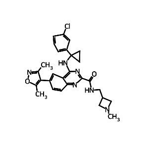 Cc1noc(C)c1-c1ccc2nc(C(=O)NCC3CN(C)C3)nc(NC3(c4cccc(Cl)c4)CC3)c2c1